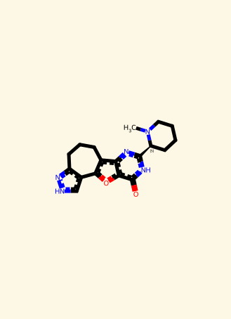 CN1CCCC[C@H]1c1nc2c3c(oc2c(=O)[nH]1)-c1c[nH]nc1CCC3